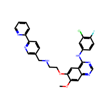 COc1cc2ncnc(Nc3ccc(F)c(Cl)c3)c2cc1OCCNCc1ccc(-c2ccccn2)nc1